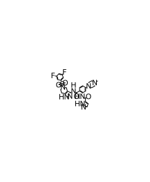 CN1CCN(c2ccc(C(=O)Nc3n[nH]c4c3CN(S(=O)(=O)c3cc(F)cc(F)c3)CC4)c(NC(=O)c3ccn[nH]3)c2)CC1